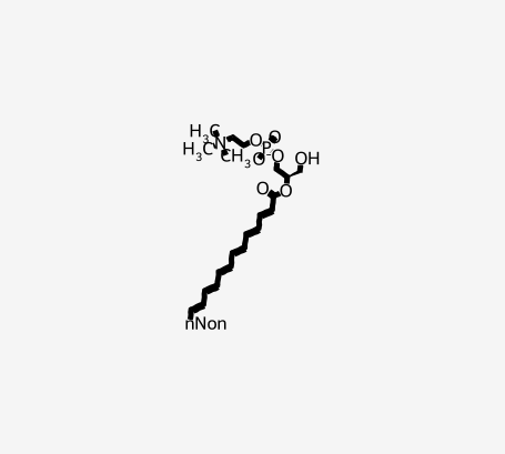 CCCCCCCCCC=CC=CC=CC=CC=CC=CC(=O)O[C@H](CO)COP(=O)([O-])OCC[N+](C)(C)C